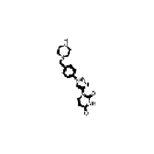 O=C1CCN(c2cn(-c3ccc(CN4CCNCC4)cc3)nn2)C(=O)N1